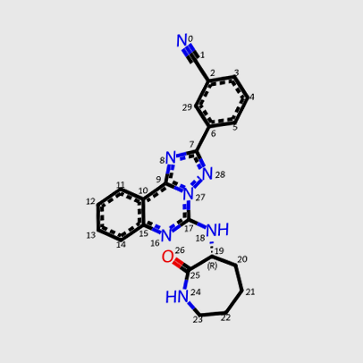 N#Cc1cccc(-c2nc3c4ccccc4nc(N[C@@H]4CCCCNC4=O)n3n2)c1